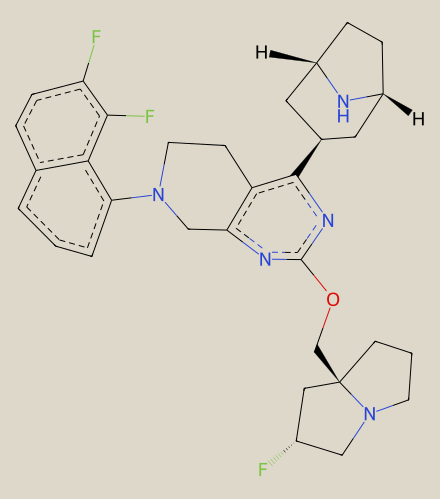 Fc1ccc2cccc(N3CCc4c(nc(OC[C@@]56CCCN5C[C@H](F)C6)nc4[C@@H]4C[C@H]5CC[C@@H](C4)N5)C3)c2c1F